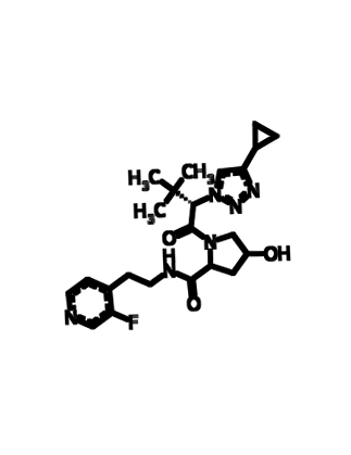 CC(C)(C)[C@@H](C(=O)N1CC(O)CC1C(=O)NCCc1ccncc1F)n1cc(C2CC2)nn1